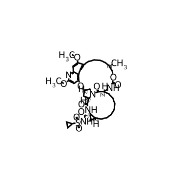 COc1cc2c3cc(c(OC)cc3n1)CCCC[C@H](C)COC(=O)N[C@H]1CCCCCCC[C@@H]3C[C@@]3(C(=O)NS(=O)(=O)C3CC3)NC(=O)[C@@H]3C[C@H](CN3C1=O)O2